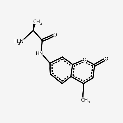 Cc1cc(=O)oc2cc(NC(=O)[C@H](C)N)ccc12